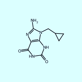 Nc1nc2c(=O)[nH]c(=O)[nH]c2n1CC1CC1